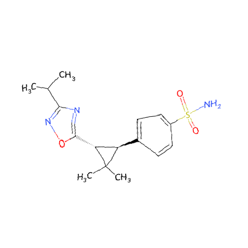 CC(C)c1noc([C@@H]2[C@@H](c3ccc(S(N)(=O)=O)cc3)C2(C)C)n1